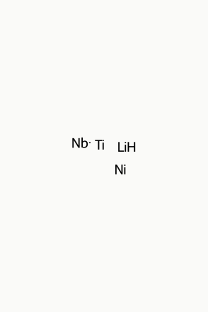 [LiH].[Nb].[Ni].[Ti]